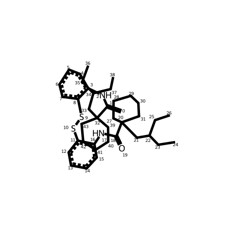 C=C(Nc1ccccc1SSc1ccccc1NC(=O)C1(CC(CC)CC)CCCCC1)C1(CC(CC)CC)CCCCC1